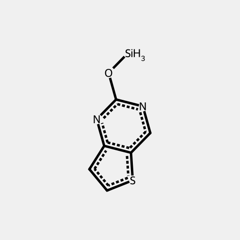 [SiH3]Oc1ncc2sccc2n1